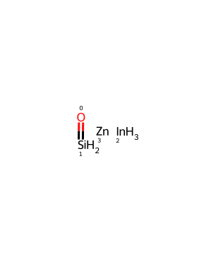 O=[SiH2].[InH3].[Zn]